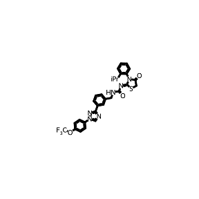 CC(C)c1ccccc1N1C(=O)CS/C1=N\C(=O)NCc1cccc(-c2ncn(-c3ccc(OC(F)(F)F)cc3)n2)c1